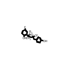 CC(C)(CC(O)(Cc1ccc(O)cc1)C(F)(F)F)c1cc(F)ccc1O